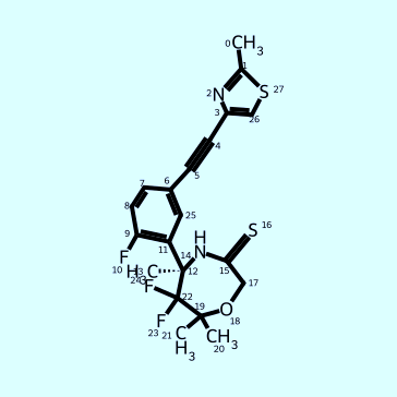 Cc1nc(C#Cc2ccc(F)c([C@@]3(C)NC(=S)COC(C)(C)C3(F)F)c2)cs1